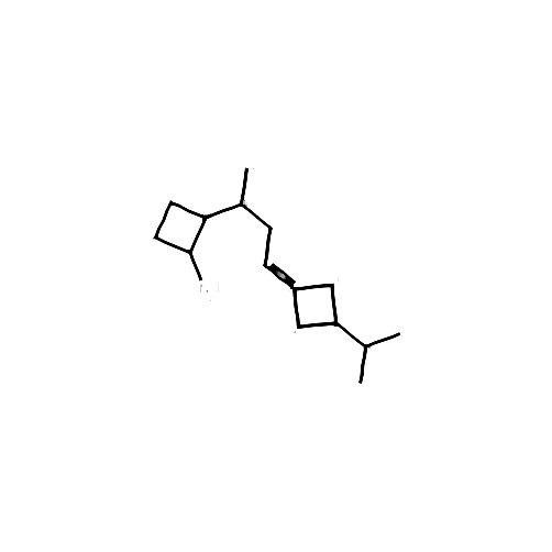 CC(C)C1CC(=CCC(C)C2CCC2N)C1